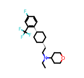 CCN(CC[C@H]1CC[C@@H](c2ccc(F)cc2C(F)(F)F)CC1)C1CCOCC1